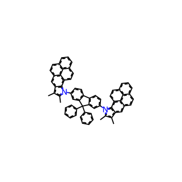 Cc1c(C)n(-c2ccc3c(c2)C(c2ccccc2)(c2ccccc2)c2cc(-n4c(C)c(C)c5cc6ccc7cccc8ccc(c6c78)c54)ccc2-3)c2c1cc1ccc3cccc4ccc2c1c34